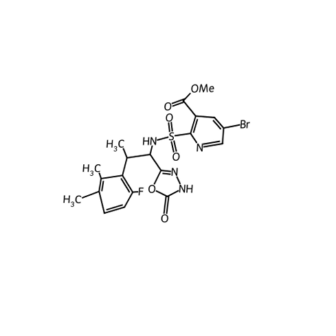 COC(=O)c1cc(Br)cnc1S(=O)(=O)NC(c1n[nH]c(=O)o1)C(C)c1c(F)ccc(C)c1C